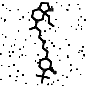 CCCC12CN(C(C)CCOCCN3CCN(C(C)(C)C)C(=O)C3)CCN1CCN2